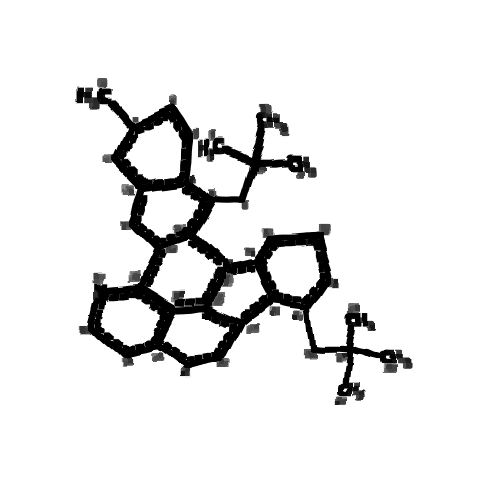 Cc1ccc2c(CC(C)(C)C)c3c(cc2c1)c1nccc2ccc4c5c(CC(C)(C)C)cccc5n3c4c21